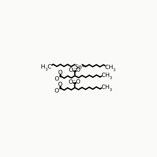 CCCCCCCCC(CCCC(=O)[O-])C(=O)[O-].CCCCCCCCC(CCCC(=O)[O-])C(=O)[O-].CCCCCCC[CH2][Sn+4][CH2]CCCCCCC